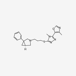 Cc1ncoc1-c1nnc(SCCCN2C[C@H]3CC3(c3ccccc3)C2)n1C